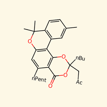 CCCCCc1cc2c(c3c1C(=O)OC(CCCC)(CC(C)=O)O3)-c1cc(C)ccc1C(C)(C)O2